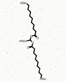 CCCCCCCCCCCCCCCCCCCC(=O)OC(CCCCC)OC(=O)CCCCCCCCCCCCCCCCCCC